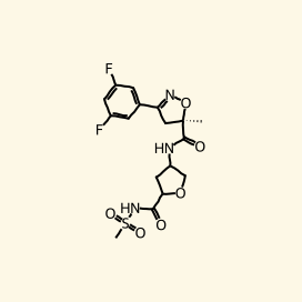 C[C@]1(C(=O)NC2COC(C(=O)NS(C)(=O)=O)C2)CC(c2cc(F)cc(F)c2)=NO1